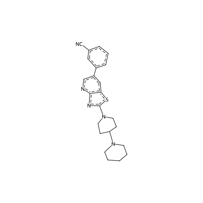 N#Cc1cccc(-c2cnc3nc(N4CCC(N5CCCCC5)CC4)sc3c2)c1